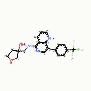 OC1(CNc2ncc(-c3ccc(C(F)(F)F)cc3)c3ncccc23)CCOC1